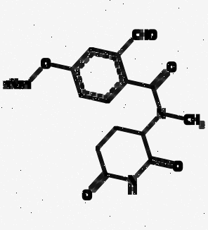 CCCCCCCCCOc1ccc(C(=O)N(C)C2CCC(=O)NC2=O)c(C=O)c1